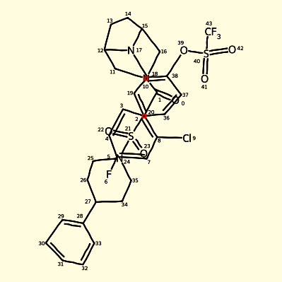 O=C(c1ccc(F)cc1Cl)N1CC2CCC(C1)N2c1cc(S(=O)(=O)N2CCC(c3ccccc3)CC2)ccc1OS(=O)(=O)C(F)(F)F